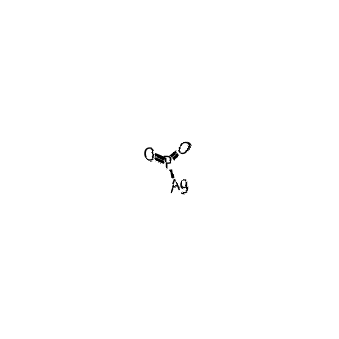 O=[P](=O)[Ag]